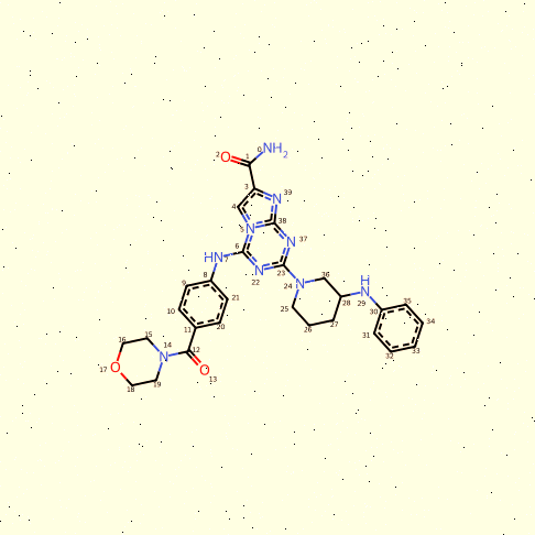 NC(=O)c1cn2c(Nc3ccc(C(=O)N4CCOCC4)cc3)nc(N3CCCC(Nc4ccccc4)C3)nc2n1